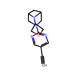 C#Cc1cnc(N2CC3CC(C2)N3C2COC2)nc1